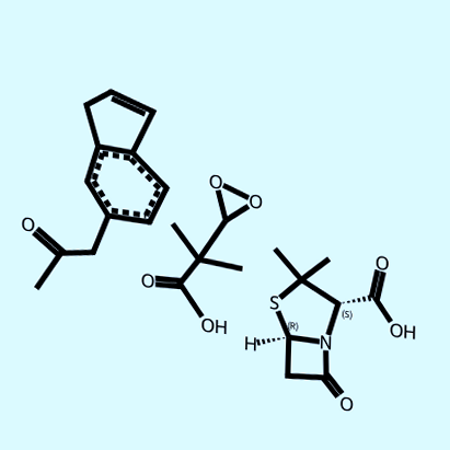 CC(=O)Cc1ccc2c(c1)CC=C2.CC(C)(C(=O)O)C1OO1.CC1(C)S[C@@H]2CC(=O)N2[C@H]1C(=O)O